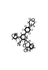 N#Cc1c(-c2ccon2)cc(-c2ccc(N3CCOCC3)cc2)nc1OCc1sccc1C(=O)O